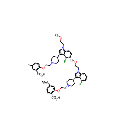 CCOCCn1cc(C2CCN(CCOc3cc(OC)ccc3C(=O)O)CC2)c2c(F)cccc21.CCOCCn1cc(C2CCN(CCOc3ccc(C)cc3C(=O)O)CC2)c2c(F)cccc21